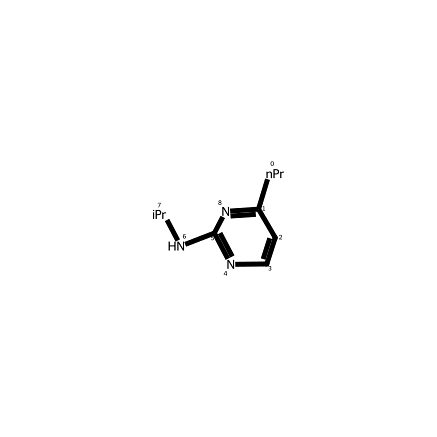 CCCc1ccnc(NC(C)C)n1